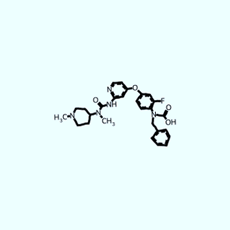 CN1CCC(N(C)C(=O)Nc2cc(Oc3ccc(N(Cc4ccccc4)C(=O)O)c(F)c3)ccn2)CC1